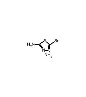 N.Nc1nnc(Br)s1